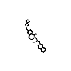 O=C1c2ccc(CN3CC4(COC4)C3)cc2OCCN1C[C@H](O)CN1CCc2ccccc2C1